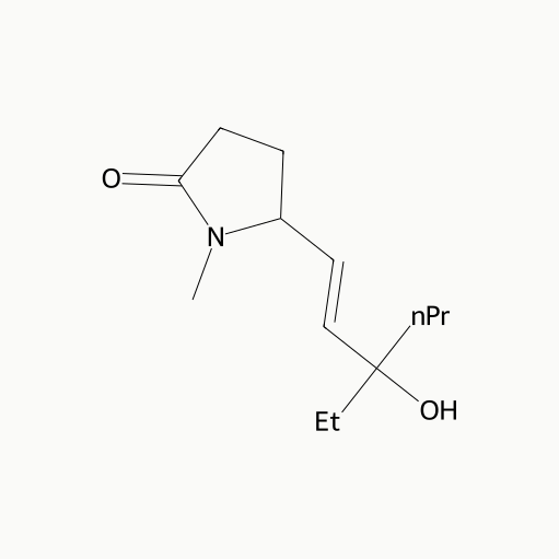 CCCC(O)(/C=C/C1CCC(=O)N1C)CC